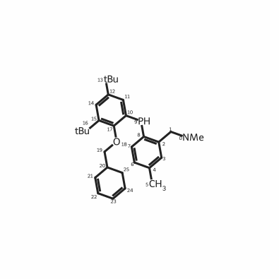 CNCc1cc(C)ccc1Pc1cc(C(C)(C)C)cc(C(C)(C)C)c1OCC1C=CC=CC1